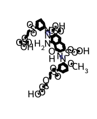 COc1ccc(S(=O)(=O)CCOSOOO)cc1/N=N/c1c(SOOO)cc2cc(S(=O)(=O)O)c(/N=N/c3cccc(S(=O)(=O)CCOS(=O)(=O)O)c3)c(N)c2c1O